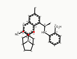 Cc1cc([C@@H](C)Nc2ccccc2C(=O)O)c2nc(N3C4CCC3CC(F)(F)C4)c(C#N)nc2c1